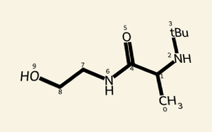 CC(NC(C)(C)C)C(=O)NCCO